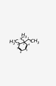 CCC1(C)C=CC=CC1C